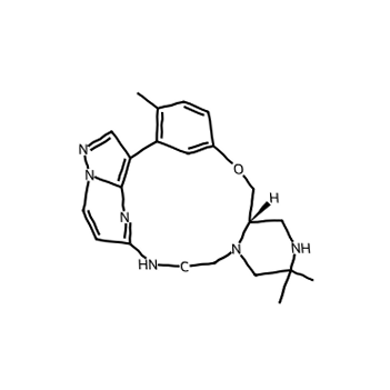 Cc1ccc2cc1-c1cnn3ccc(nc13)NCCN1CC(C)(C)NC[C@H]1CO2